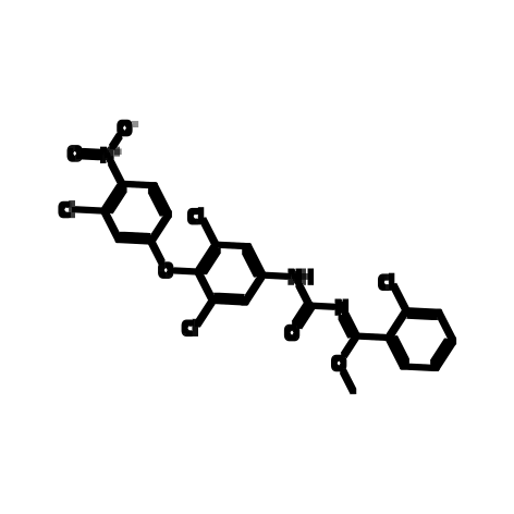 CO/C(=N\C(=O)Nc1cc(Cl)c(Oc2ccc([N+](=O)[O-])c(Cl)c2)c(Cl)c1)c1ccccc1Cl